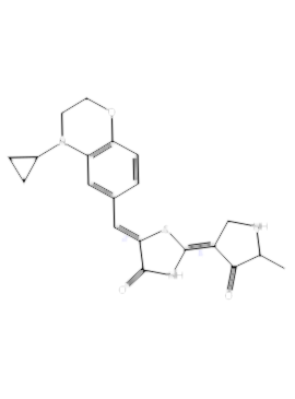 CC1NC/C(=c2/[nH]c(=O)/c(=C/c3ccc4c(c3)N(C3CC3)CCO4)s2)C1=O